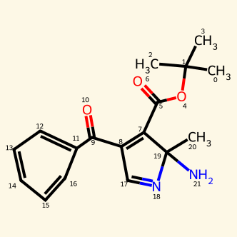 CC(C)(C)OC(=O)C1=C(C(=O)c2ccccc2)C=NC1(C)N